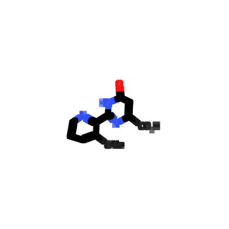 COc1cccnc1-c1nc(C(=O)O)cc(=O)[nH]1